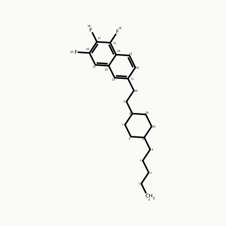 CCCCCC1CCC(CCc2ccc3c(F)c(F)c(F)cc3c2)CC1